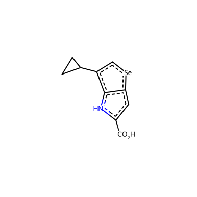 O=C(O)c1cc2[se]cc(C3CC3)c2[nH]1